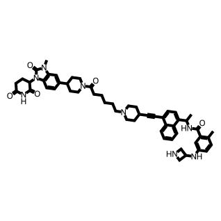 Cc1ccc(NC2CNC2)cc1C(=O)NC(C)c1ccc(C#CC2CCN(CCCCCC(=O)N3CCC(c4ccc5c(c4)n(C)c(=O)n5C4CCC(=O)NC4=O)CC3)CC2)c2ccccc12